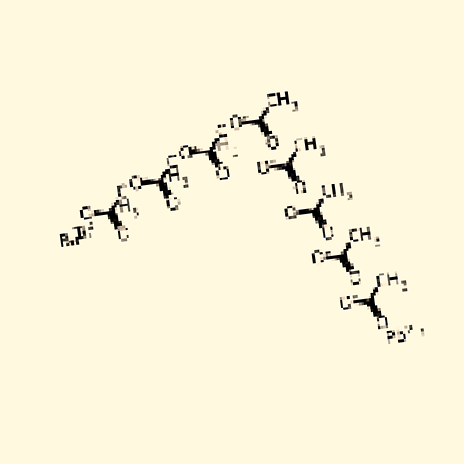 CC(=O)[O-].CC(=O)[O-].CC(=O)[O-].CC(=O)[O-].CC(=O)[O-].CC(=O)[O-].CC(=O)[O-].CC(=O)[O-].[Ba+2].[Pb+2].[Ti+4]